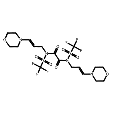 O=C(C(=O)N(CC=CN1CCOCC1)S(=O)(=O)C(F)(F)F)N(CC=CN1CCOCC1)S(=O)(=O)C(F)(F)F